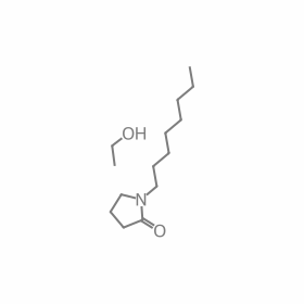 CCCCCCCCN1CCCC1=O.CCO